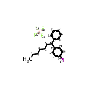 CCCCCCC(c1ccccc1)c1ccc(I)cc1.F[B-](F)(F)F